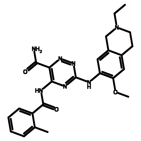 CCN1CCc2cc(OC)c(Nc3nnc(C(N)=O)c(NC(=O)c4ccccc4C)n3)cc2C1